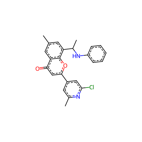 Cc1cc(C(C)Nc2ccccc2)c2oc(-c3cc(C)nc(Cl)c3)cc(=O)c2c1